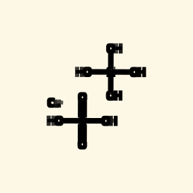 O=S(=O)(O)O.O[Si](O)(O)O.[Cu]